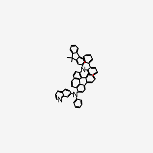 CC1(C)c2ccccc2-c2ccc(N(c3ccccc3-c3ccccc3)c3ccc4ccc5c(N(c6ccccc6)c6ccc7cccnc7c6)ccc6c7ccccc7c3c4c56)cc21